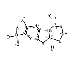 CCS(=O)(=O)c1cc2c(nc1C)N1[C@@H](CNC[C@H]1C)C2